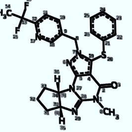 CN1C(=O)c2c(nn(Cc3ccc(C(C)(F)F)nc3)c2Sc2ccccc2)N2C1=N[C@@H]1CCC[C@@H]12